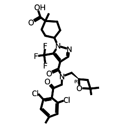 Cc1cc(Cl)c(C(=O)CN(C[C@H]2CC(C)(C)O2)C(=O)c2cnn(C3CCC(C)(C(=O)O)CC3)c2C(F)(F)F)c(Cl)c1